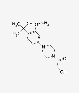 COc1cc(N2CCN(C(=O)CO)CC2)ccc1C(C)(C)C